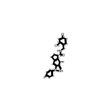 C[C@H]1C2=CNN(c3ccc(F)cc3)C2=CC2=C1[C@@H](C(=O)NCc1ccc(Cl)cc1Cl)CC2